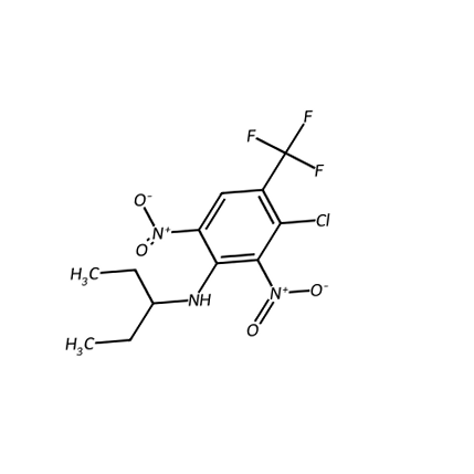 CCC(CC)Nc1c([N+](=O)[O-])cc(C(F)(F)F)c(Cl)c1[N+](=O)[O-]